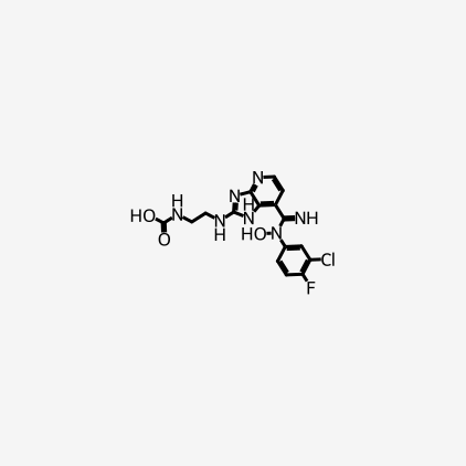 N=C(c1ccnc2nc(NCCNC(=O)O)[nH]c12)N(O)c1ccc(F)c(Cl)c1